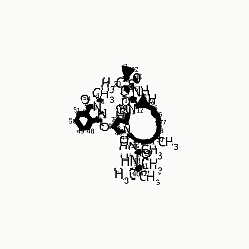 CCn1nc(O[C@@H]2C[C@H]3C(=O)N[C@]4(C(=O)NS(=O)(=O)C5(C)CC5)C[C@H]4C=CCC[C@H](C)C[C@@H](C)[C@H](NC(=O)NC(C)(C)C)C(=O)N3C2)c2ccccc2c1=O